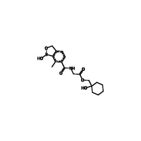 Cc1c(C(=O)NCC(=O)OCC2(O)CCCCC2)ccc2c1B(O)OC2